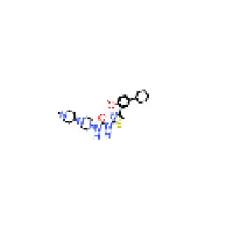 COc1ccc(C2CCCCC2)cc1-c1csc(NC(=O)NN2CCN(C3CCN(C)CC3)CC2)n1